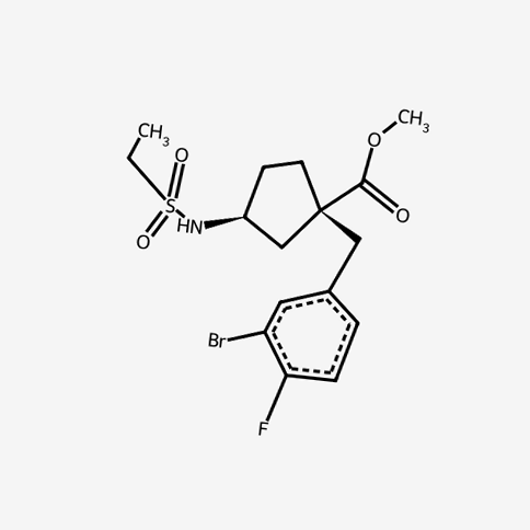 CCS(=O)(=O)N[C@H]1CC[C@](Cc2ccc(F)c(Br)c2)(C(=O)OC)C1